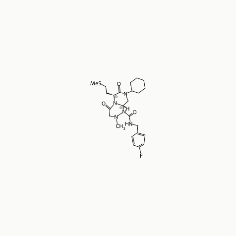 CSCC[C@H]1C(=O)N(C2CCCCC2)C[C@H]2N1C(=O)CN(C)N2C(=O)NCc1ccc(F)cc1